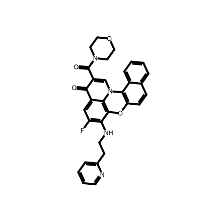 O=C(c1cn2c3c(c(NCCc4ccccn4)c(F)cc3c1=O)Oc1ccc3ccccc3c1-2)N1CCOCC1